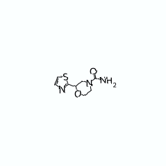 NC(=O)N1CCOC(c2nccs2)C1